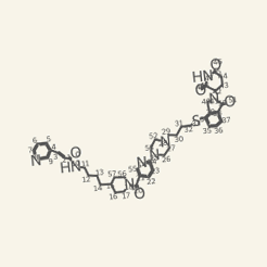 O=C(/C=C/c1cccnc1)NCCCCC1CCN(C(=O)c2ccc(N3CCN(CCCCSc4cccc5c4CN(C4CCC(=O)NC4=O)C5=O)CC3)nc2)CC1